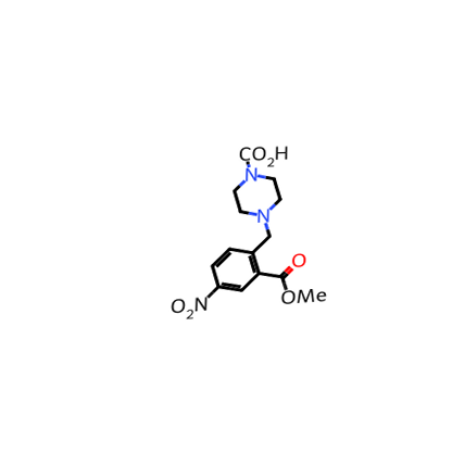 COC(=O)c1cc([N+](=O)[O-])ccc1CN1CCN(C(=O)O)CC1